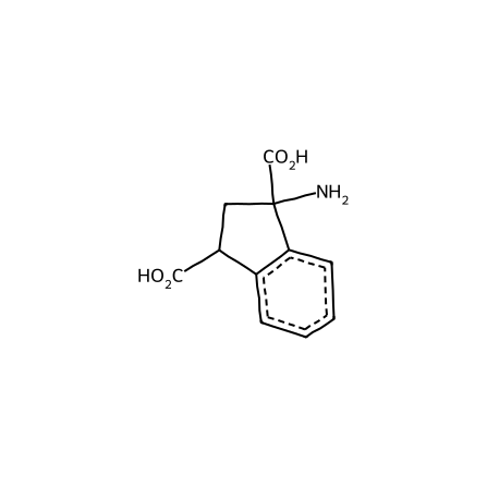 NC1(C(=O)O)CC(C(=O)O)c2ccccc21